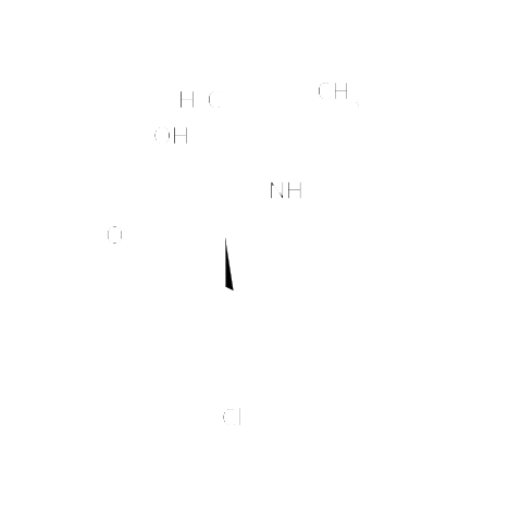 CC(C)N[C@@H](Cc1ccccc1Cl)C(=O)O